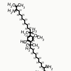 COc1cc(C(C)(C)CCCCCCCCCC(N)C(C)C)c(O)cc1C(C)(C)CCCCCCCCCC(N)C(C)C